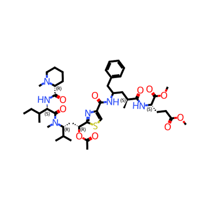 CCC(C)[C@H](NC(=O)[C@H]1CCCCN1C)C(=O)N(C)[C@H](C[C@@H](OC(C)=O)c1nc(C(=O)NC(Cc2ccccc2)C[C@H](C)C(=O)N[C@@H](CCC(=O)OC)C(=O)OC)cs1)C(C)C